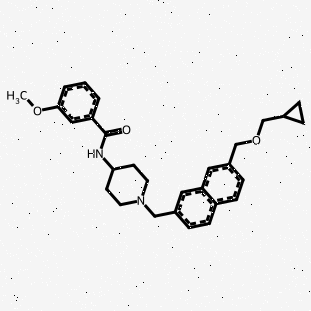 COc1cccc(C(=O)NC2CCN(Cc3ccc4ccc(COCC5CC5)cc4c3)CC2)c1